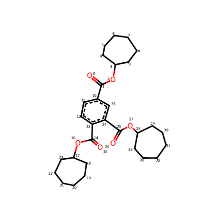 O=C(OC1CCCCCC1)c1ccc(C(=O)OC2CCCCCC2)c(C(=O)OC2CCCCCC2)c1